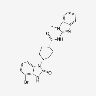 Cn1c(NC(=O)[C@H]2CC[C@@H](n3c(=O)[nH]c4c(Br)cccc43)CC2)nc2ccccc21